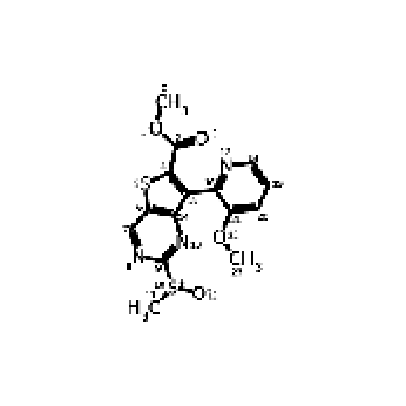 COC(=O)c1sc2cnc([S+](C)[O-])nc2c1-c1ncccc1OC